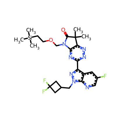 CC1(C)C(=O)N(COCC[Si](C)(C)C)c2nc(-c3nn(CC4CC(F)(F)C4)c4ncc(F)cc34)nnc21